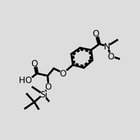 CON(C)C(=O)c1ccc(OCC(O[Si](C)(C)C(C)(C)C)C(=O)O)cc1